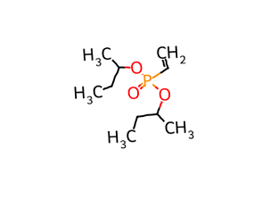 C=CP(=O)(OC(C)CC)OC(C)CC